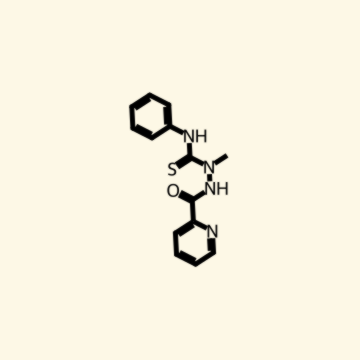 CN(NC(=O)c1ccccn1)C(=S)Nc1ccccc1